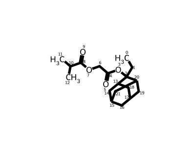 CCC1(OC(=O)COC(=O)C(C)C)C2CC3CC(C2)CC1C3